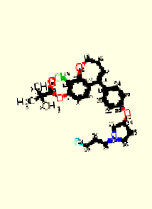 CC(C)(C)C(=O)Oc1ccc2c(c1Cl)OCCC=C2c1ccc(OC2CCN(CCCF)C2)cc1